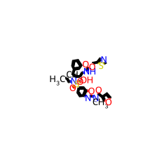 CC(C)CN(C(Cc1ccccc1)C(O)CNC(=O)OCc1cncs1)S(=O)(=O)c1ccc2nc(N(C)C(=O)c3ccoc3)oc2c1